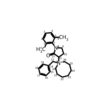 Cc1cccc(C)c1N1CCC([N+]2(Cc3ccccc3)CCCCCCC2)C1=O